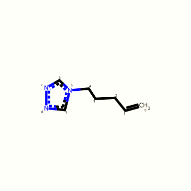 C=CCCCn1cnnc1